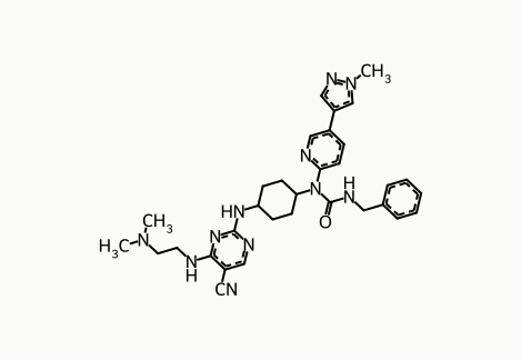 CN(C)CCNc1nc(NC2CCC(N(C(=O)NCc3ccccc3)c3ccc(-c4cnn(C)c4)cn3)CC2)ncc1C#N